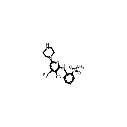 CS(=O)(=O)c1ccccc1Nc1nc(N2CCNCC2)cc(C(F)(F)F)c1C#N